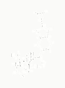 CC1(C)[C@@H](NC(=O)c2ccc3cc(C4CC4)sc3c2)C2CCN1CC2